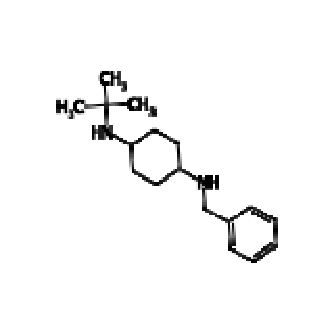 CC(C)(C)NC1CCC(NCc2ccccc2)CC1